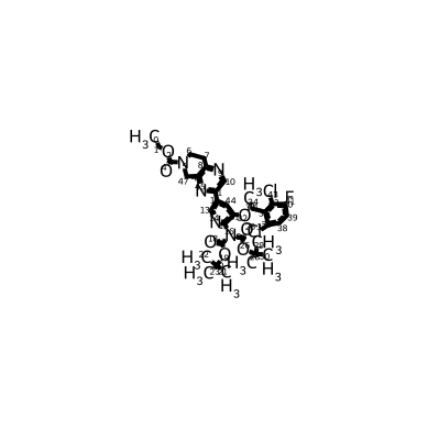 CCOC(=O)N1CCc2ncc(-c3cnc(N(C(=O)OC(C)(C)C)C(=O)OC(C)(C)C)c(O[C@H](C)c4c(Cl)ccc(F)c4Cl)c3)nc2C1